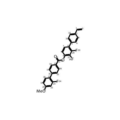 C=Cc1ccc(-c2ccc(OC(=O)c3ccc(-c4ccc(OC)cc4F)cc3)c(F)c2F)cc1